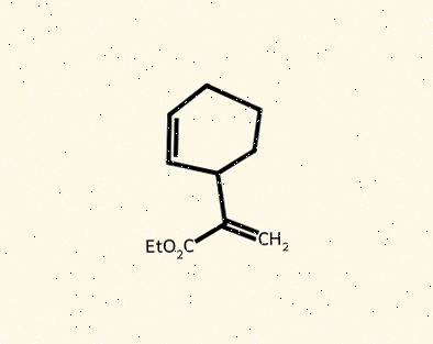 C=C(C(=O)OCC)C1C=CCCC1